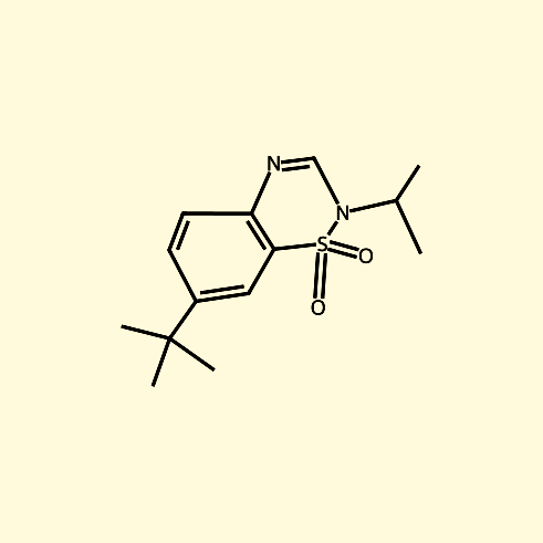 CC(C)N1C=Nc2ccc(C(C)(C)C)cc2S1(=O)=O